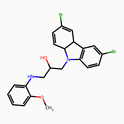 COc1ccccc1NCC(O)CN1c2ccc(Br)cc2C2C=C(Br)C=CC21